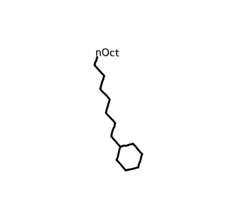 [CH2]CCCCCCCCCCCCCCC1CCCCC1